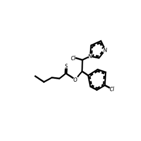 CCCCC(=S)OC(c1ccc(Cl)cc1)C(Cl)n1ccnc1